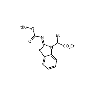 CCOC(=O)C(CC)n1/c(=N/C(=O)OC(C)(C)C)sc2ccccc21